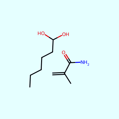 C=C(C)C(N)=O.CCCCCC(O)O